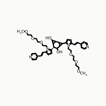 COCCOCCOCCn1c(/C=C/c2ccncc2)ccc1C1C2C1C(O)[C@@H](c1ccc(/C=C/c3ccncc3)n1CCOCCOCCOC)C1C(O)C21